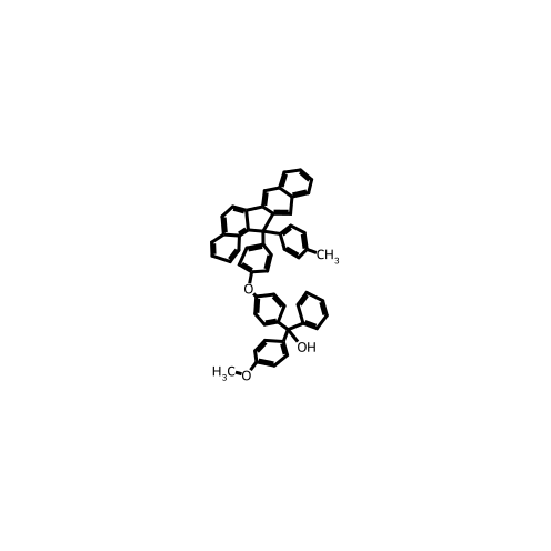 COc1ccc(C(O)(c2ccccc2)c2ccc(Oc3ccc(C4(c5ccc(C)cc5)c5cc6ccccc6cc5-c5ccc6ccccc6c54)cc3)cc2)cc1